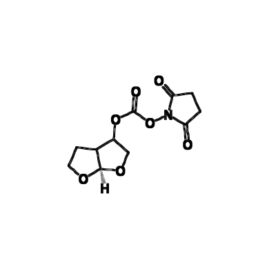 O=C(OC1CO[C@H]2OCCC12)ON1C(=O)CCC1=O